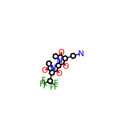 N#Cc1ccc(-c2cc3c(=O)c4ccccc4n4c5cc6c(cc5c(=O)c(c2)c34)c(=O)c2cc(-c3cc(C(F)(F)F)cc(C(F)(F)F)c3)cc3c(=O)c4ccccc4n6c32)cc1